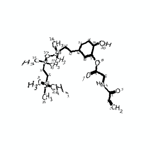 C=CC(=O)NCC(=O)OC1CC(CC[Si](C)(C)O[Si](C)(C)CC[Si](C)(C)C)CCC1O